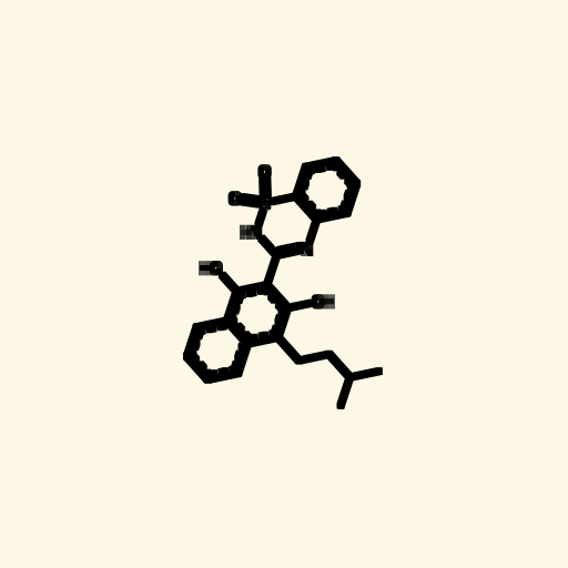 CC(C)CCc1c(O)c(C2=Nc3ccccc3S(=O)(=O)N2)c(O)c2ccccc12